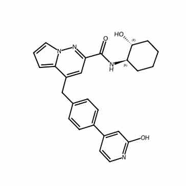 O=C(N[C@@H]1CCCC[C@H]1O)c1cc(Cc2ccc(-c3ccnc(O)c3)cc2)c2cccn2n1